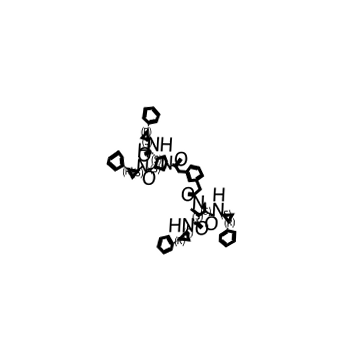 O=C(N[C@H]1C[C@@H]1c1ccccc1)[C@@H]1CN(C(=O)Cc2cccc(CC(=O)N3C[C@@H](C(=O)N[C@H]4C[C@@H]4c4ccccc4)[C@H](C(=O)N[C@H]4C[C@@H]4c4ccccc4)C3)c2)C[C@H]1C(=O)N[C@H]1C[C@@H]1c1ccccc1